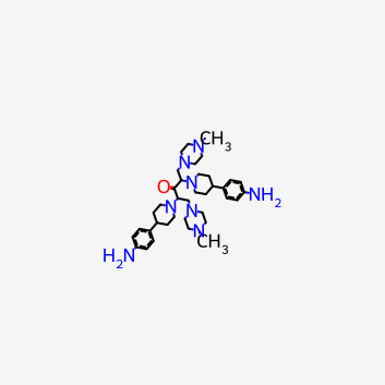 CN1CCN(CC(C(=O)C(CN2CCN(C)CC2)N2CCC(c3ccc(N)cc3)CC2)N2CCC(c3ccc(N)cc3)CC2)CC1